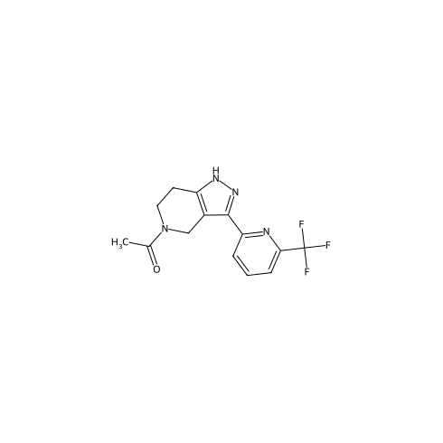 CC(=O)N1CCc2[nH]nc(-c3cccc(C(F)(F)F)n3)c2C1